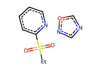 CCS(=O)(=O)c1ccccn1.c1ncon1